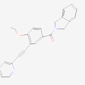 CCOc1ccc(C(=O)N2Cc3ccccc3C2)cc1C#Cc1ccccn1